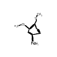 COc1c[c]c(N)cc1OC